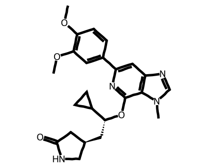 COc1ccc(-c2cc3ncn(C)c3c(O[C@H](C[C@H]3CNC(=O)C3)C3CC3)n2)cc1OC